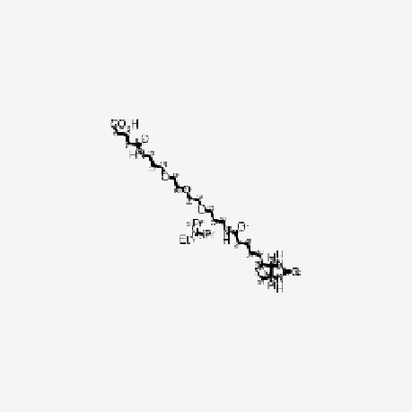 CCN(C(C)C)C(C)C.O=C(O)CCCC(=O)NCCCOCCOCCOCCCNC(=O)CCCC[C@@H]1SC[C@@H]2NC(=O)N[C@@H]21